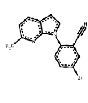 Cc1ccc2ccn(-c3ccc(Br)cc3C#N)c2n1